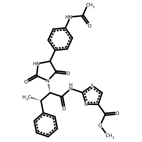 COC(=O)c1csc(NC(=O)[C@H]([C@@H](C)c2ccccc2)N2C(=O)NC(c3ccc(NC(C)=O)cc3)C2=O)n1